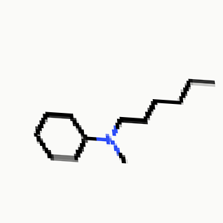 CCCCCCN(C)C1CC[CH]CC1